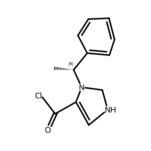 C[C@H](c1ccccc1)N1CNC=C1C(=O)Cl